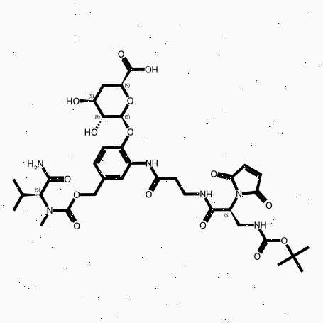 CC(C)[C@@H](C(N)=O)N(C)C(=O)OCc1ccc(O[C@@H]2O[C@H](C(=O)O)C[C@H](O)[C@H]2O)c(NC(=O)CCNC(=O)[C@H](CNC(=O)OC(C)(C)C)N2C(=O)C=CC2=O)c1